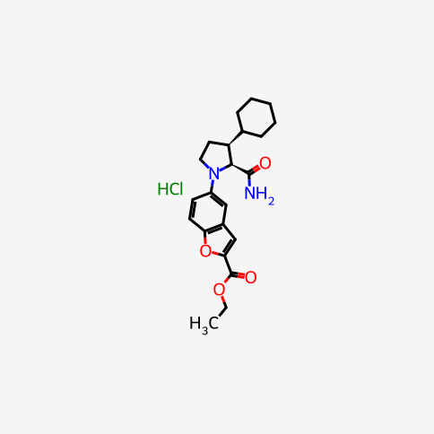 CCOC(=O)c1cc2cc(N3CC[C@@H](C4CCCCC4)[C@H]3C(N)=O)ccc2o1.Cl